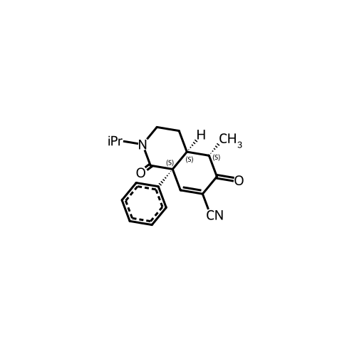 CC(C)N1CC[C@H]2[C@H](C)C(=O)C(C#N)=C[C@@]2(c2ccccc2)C1=O